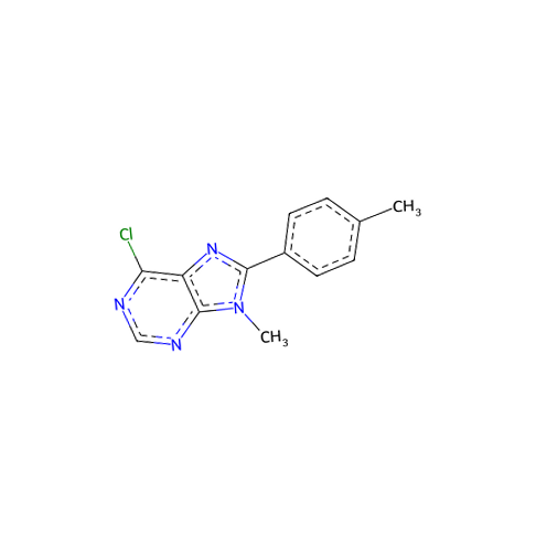 Cc1ccc(-c2nc3c(Cl)ncnc3n2C)cc1